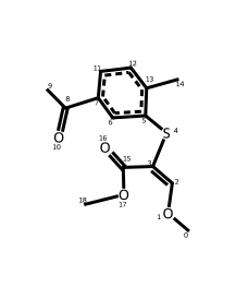 COC=C(Sc1cc(C(C)=O)ccc1C)C(=O)OC